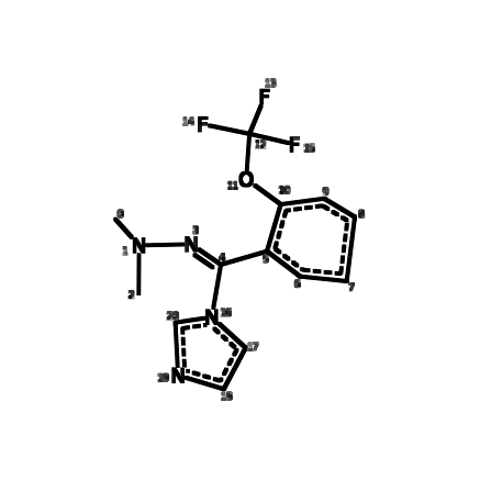 CN(C)/N=C(/c1ccccc1OC(F)(F)F)n1ccnc1